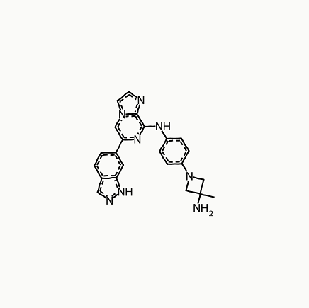 CC1(N)CN(c2ccc(Nc3nc(-c4ccc5cn[nH]c5c4)cn4ccnc34)cc2)C1